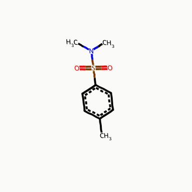 Cc1ccc(S(=O)(=O)N(C)C)cc1